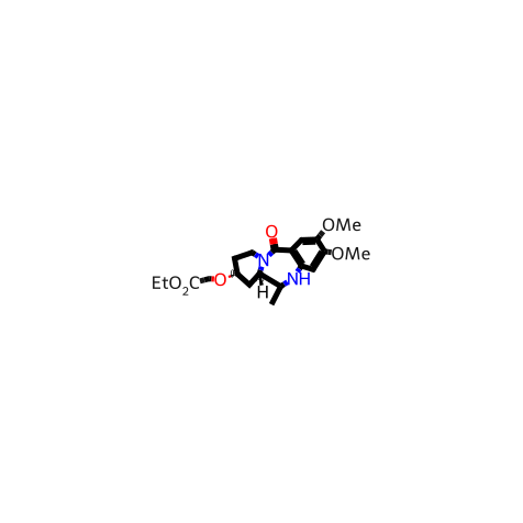 CCOC(=O)CO[C@@H]1CCN2C(=O)c3cc(OC)c(OC)cc3NC(C)[C@@H]2C1